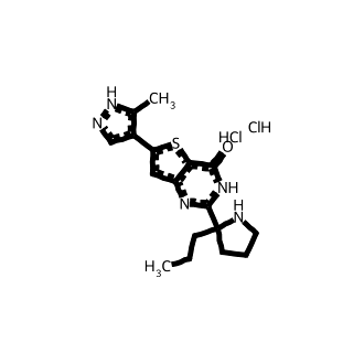 CCCC1(c2nc3cc(-c4cn[nH]c4C)sc3c(=O)[nH]2)CCCN1.Cl.Cl